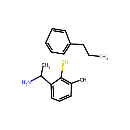 CCCc1ccccc1.Cc1cccc(C(C)N)c1S